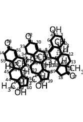 C[C@]12CC[C@H](O)CC1=CC[C@@H]1[C@@H]2CC[C@]2(C)C(=O)CC[C@@H]12.C[C@]12CC[C@H]3[C@@H](CCC4=CC(=O)CC[C@@]43C)[C@@H]1CC[C@@H]2O.C[C@]12CC[C@H]3[C@@H](CCC4=CC(=O)CC[C@@]43C)[C@@H]1CC[C@H]2O